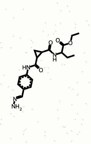 CCOC(=O)C(CC)NC(=O)C1CC1C(=O)Nc1ccc(C=NN)cc1